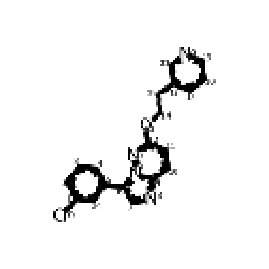 Clc1cccc(-c2cnc3ccc(OCCc4cccnc4)nn23)c1